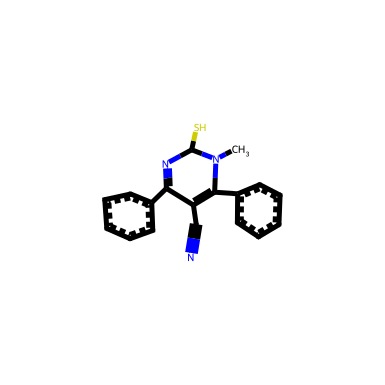 CN1C(c2ccccc2)=C(C#N)C(c2ccccc2)=NC1S